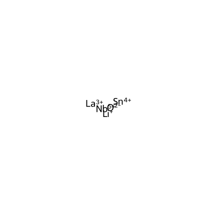 [La+3].[Li+].[Nb+5].[O-2].[Sn+4]